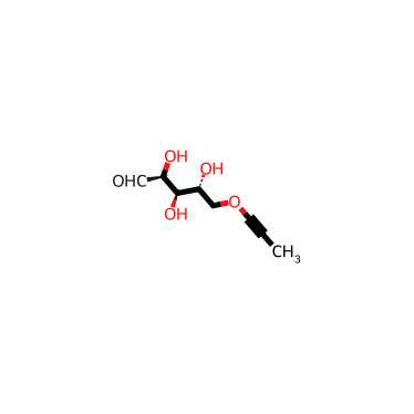 CC#COC[C@@H](O)[C@@H](O)[C@H](O)C=O